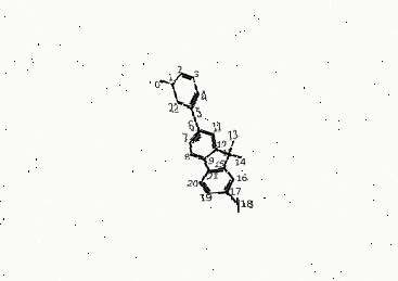 C[C@H]1C=CC=C(c2ccc3c(c2)C(C)(C)c2cc(I)ccc2-3)C1